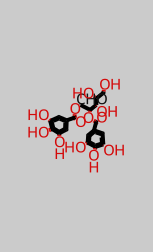 O=CC(OC(=O)c1cc(O)c(O)c(O)c1)C(OC(=O)c1cc(O)c(O)c(O)c1)C(O)C(O)CO